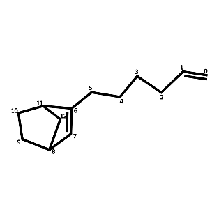 C=CCCCCC1=CC2CCC1C2